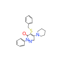 O=c1c(SCc2ccccc2)c(N2CCCCC2)cnn1-c1ccccc1